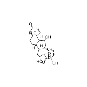 C[C@]12C=CC(=O)C=C1CC[C@@H]1[C@@H]2[C@@H](O)C[C@@]2(C)[C@H]1C[C@@H](O)[C@]2(O)C(=O)C(O)F